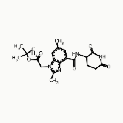 Cc1cc(C(=O)NC2CCC(=O)NC2=O)c2nc(C)n(CC(=O)OC(C)(C)C)c2c1